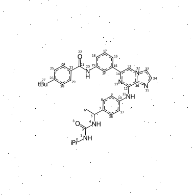 CC(C)NC(=O)NC(C)c1ccc(Nc2nc(-c3cccc(NC(=O)c4ccc(C(C)(C)C)cc4)c3)cn3ccnc23)cc1